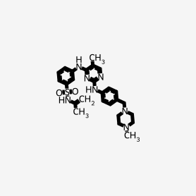 C=C(C)NS(=O)(=O)c1cccc(Nc2nc(Nc3ccc(CN4CCN(C)CC4)cc3)ncc2C)c1